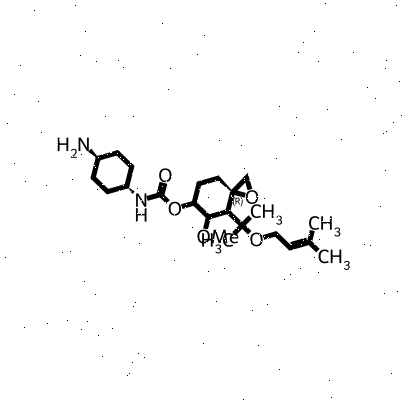 COC1C(OC(=O)N[C@H]2CC[C@H](N)CC2)CC[C@]2(CO2)C1C(C)(C)OCC=C(C)C